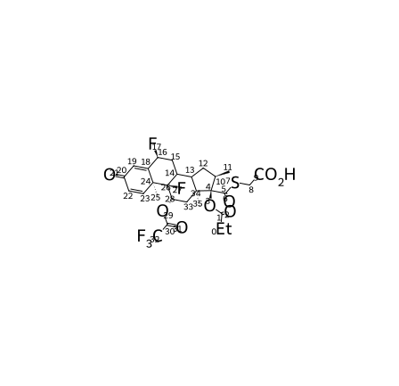 CCC(=O)O[C@]1(C(=O)SCC(=O)O)[C@H](C)CC2C3C[C@H](F)C4=CC(=O)C=C[C@]4(C)[C@@]3(F)[C@@H](OC(=O)C(F)(F)F)C[C@@]21C